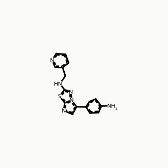 Nc1ccc(-c2cnc3sc(NCc4cccnc4)nn23)cc1